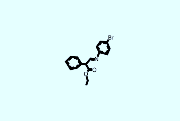 CCOC(=O)C(/C=N/c1ccc(Br)cc1)c1ccccc1